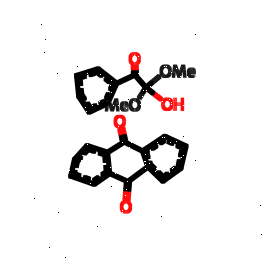 COC(O)(OC)C(=O)c1ccccc1.O=C1c2ccccc2C(=O)c2ccccc21